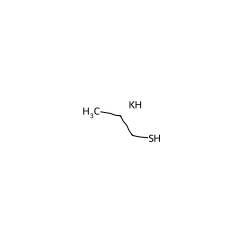 CCCS.[KH]